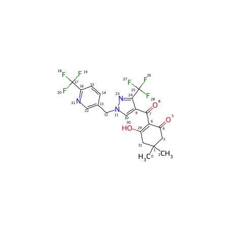 CC1(C)CC(=O)C(C(=O)c2cn(Cc3ccc(C(F)(F)F)nc3)nc2C(F)(F)F)=C(O)C1